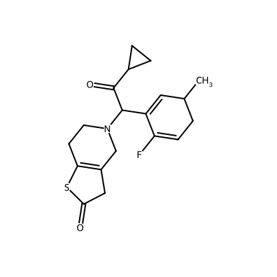 CC1C=C(C(C(=O)C2CC2)N2CCC3=C(CC(=O)S3)C2)C(F)=CC1